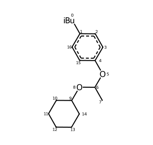 CCC(C)c1ccc(OC(C)OC2CCCCC2)cc1